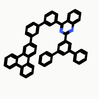 c1ccc(-c2cc(-c3ccccc3)cc(-c3nc(-c4cccc(-c5cccc(-c6ccc7c8ccccc8c8ccccc8c7c6)c5)c4)c4ccccc4n3)c2)cc1